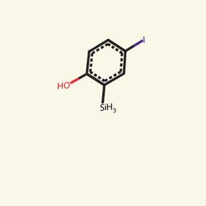 Oc1ccc(I)cc1[SiH3]